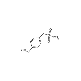 [NH]Cc1ccc(CS(N)(=O)=O)cc1